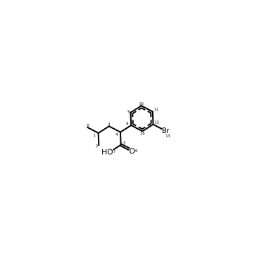 CC(C)CC(C(=O)O)c1cccc(Br)c1